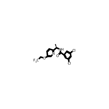 C[C@@H](NC(=O)c1cc(Cl)cc(Cl)c1)c1ccc(OCC(F)(F)F)cn1